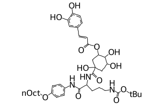 CCCCCCCCOc1ccc(NC(=O)C(CCCNC(=O)OC(C)(C)C)NC(=O)C2(O)CC(O)C(O)C(OC(=O)/C=C/c3ccc(O)c(O)c3)C2)cc1